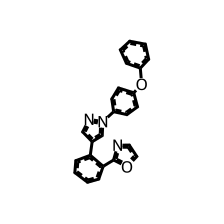 c1ccc(Oc2ccc(-n3cc(-c4ccccc4-c4ncco4)cn3)cc2)cc1